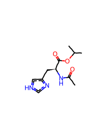 CC(=O)N[C@@H](Cc1c[nH]cn1)C(=O)OC(C)C